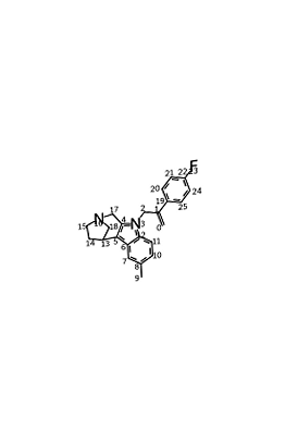 C=C(Cn1c2c(c3cc(C)ccc31)C1CCN(C2)C1)c1ccc(F)cc1